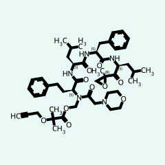 C#CCOC(C)(C)C(=O)OCN(C(=O)CN1CCOCC1)[C@@H](CCc1ccccc1)C(=O)N[C@@H](CC(C)C)C(=O)N[C@@H](Cc1ccccc1)C(=O)N[C@@H](CC(C)C)C(=O)[C@@]1(C)CO1